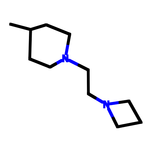 CC1CCN(CCN2CCC2)CC1